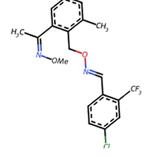 CO/N=C(/C)c1cccc(C)c1CO/N=C/c1ccc(Cl)cc1C(F)(F)F